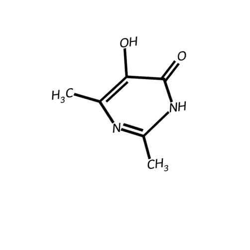 Cc1nc(C)c(O)c(=O)[nH]1